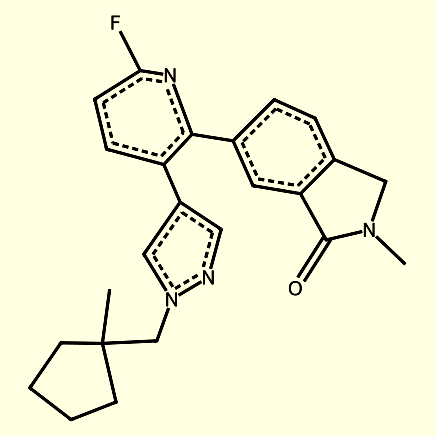 CN1Cc2ccc(-c3nc(F)ccc3-c3cnn(CC4(C)CCCC4)c3)cc2C1=O